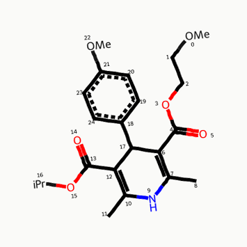 COCCOC(=O)C1=C(C)NC(C)=C(C(=O)OC(C)C)C1c1ccc(OC)cc1